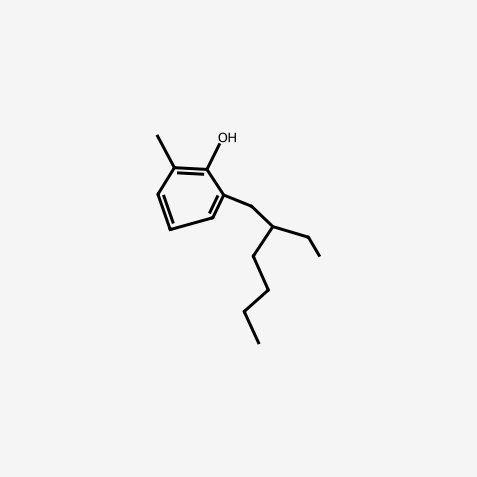 CCCCC(CC)Cc1cccc(C)c1O